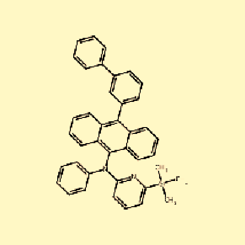 C[Si](C)(C)c1cccc(N(c2ccccc2)c2c3ccccc3c(-c3cccc(-c4ccccc4)c3)c3ccccc23)n1